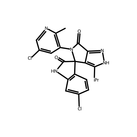 Cc1ncc(Cl)cc1N1C(=O)c2n[nH]c(C(C)C)c2C12C(=O)Nc1cc(Cl)ccc12